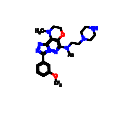 CC(=O)N(CCN1CCNCC1)c1nn2c(-c3cccc(OC(F)(F)F)c3)nnc2c2c1OCCN2C